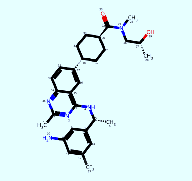 Cc1nc(N[C@H](C)c2cc(N)cc(C(F)(F)F)c2)c2cc([C@H]3CC[C@H](C(=O)N(C)C[C@@H](C)O)CC3)ccc2n1